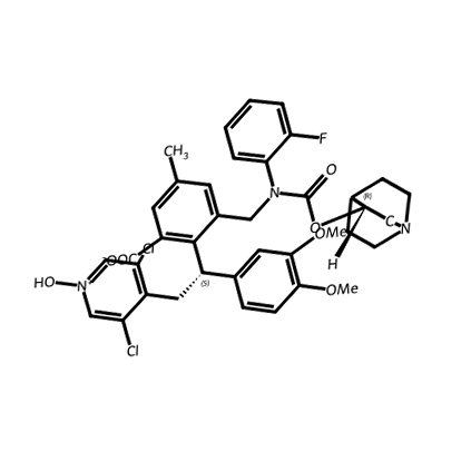 COc1ccc([C@H](Cc2c(Cl)c[n+](O)cc2Cl)c2c(CN(C(=O)O[C@H]3CN4CCC3CC4)c3ccccc3F)cc(C)cc2C(=O)[O-])cc1OC